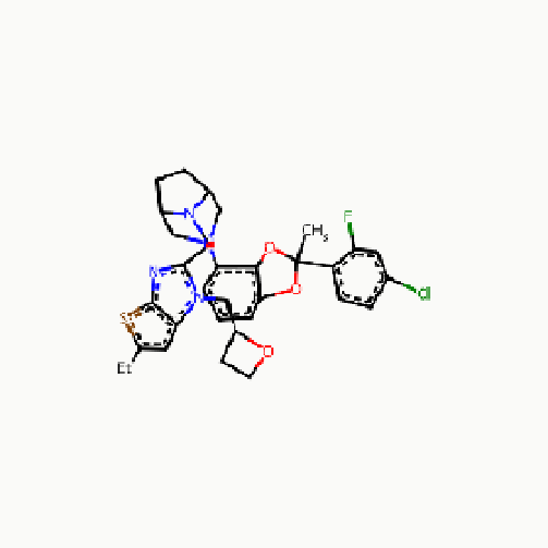 CCc1cc2c(nc(CN3C4CCC3CN(c3cccc5c3OC(C)(c3ccc(Cl)cc3F)O5)C4)n2C[C@@H]2CCO2)s1